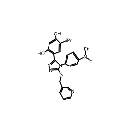 CCN(CC)c1ccc(-n2c(SCc3cccnc3)nnc2-c2cc(C(C)C)c(O)cc2O)cc1